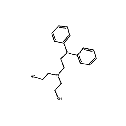 SCCN(CCS)CCP(c1ccccc1)c1ccccc1